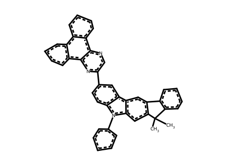 CC1(C)c2ccccc2-c2cc3c4cc(-c5cnc6c7ccccc7c7ccccc7c6n5)ccc4n(-c4ccccc4)c3cc21